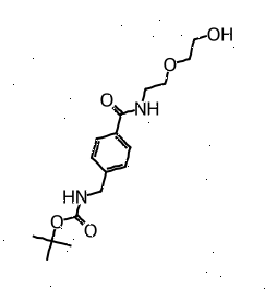 CC(C)(C)OC(=O)NCc1ccc(C(=O)NCCOCCO)cc1